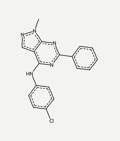 Cn1ncc2c(Nc3ccc(Cl)cc3)nc(-c3ccccc3)nc21